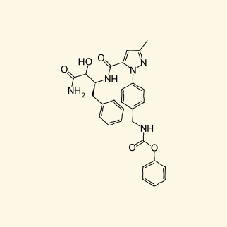 Cc1cc(C(=O)N[C@@H](Cc2ccccc2)C(O)C(N)=O)n(-c2ccc(CNC(=O)Oc3ccccc3)cc2)n1